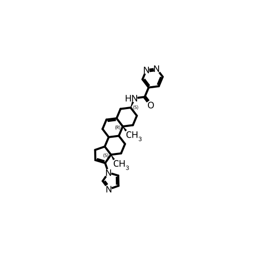 C[C@]12CC[C@H](NC(=O)c3ccnnc3)CC1=CCC1C2CC[C@]2(C)C(n3ccnc3)=CCC12